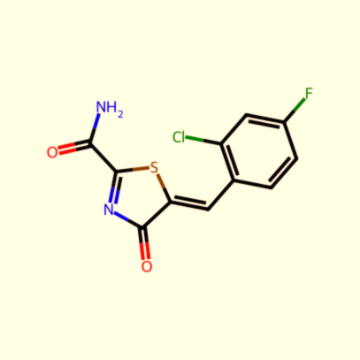 NC(=O)C1=NC(=O)C(=Cc2ccc(F)cc2Cl)S1